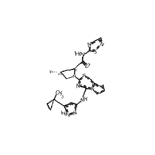 CC1(c2cc(Nc3nc(N4C[C@H](F)C[C@H]4C(=O)Nc4ncns4)nc4cccn34)n[nH]2)CC1